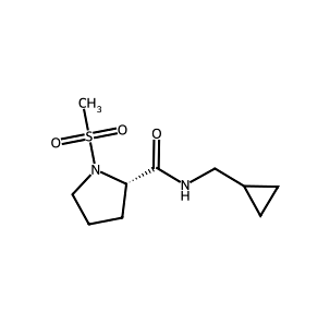 CS(=O)(=O)N1CCC[C@H]1C(=O)NCC1CC1